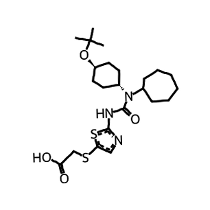 CC(C)(C)O[C@H]1CC[C@H](N(C(=O)Nc2ncc(SCC(=O)O)s2)C2CCCCCC2)CC1